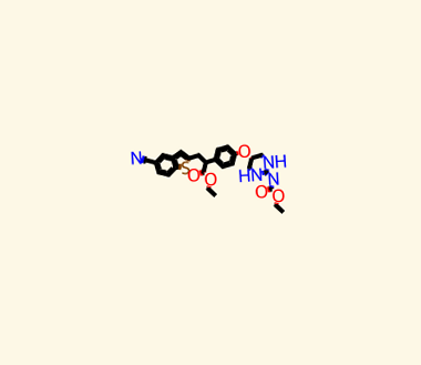 CCOC(=O)N=C1NCC(Oc2ccc(C(Cc3cc4cc(C#N)ccc4s3)C(=O)OCC)cc2)CN1